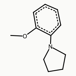 COc1ccccc1N1CCCC1